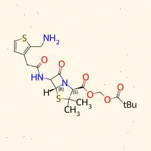 CC(C)(C)C(=O)OCOC(=O)[C@@H]1N2C(=O)C(NC(=O)Cc3ccsc3CN)[C@H]2SC1(C)C